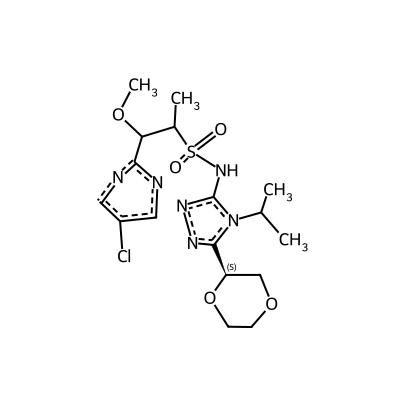 COC(c1ncc(Cl)cn1)C(C)S(=O)(=O)Nc1nnc([C@H]2COCCO2)n1C(C)C